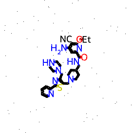 CCOc1nc(C(=O)NCC2CCN(Cc3sc(-c4ccccn4)nc3CN3CCNCC3)CC2)cc(N)c1C#N